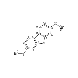 BrCc1ccc2c(c1)Cc1cc(CBr)ccc1-2